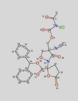 [C-]#[N+]C1(COC(=O)N(Cl)C(C)=O)CON(C2(C(=O)OC(c3ccccc3)c3ccccc3)CCC(=O)O2)C1=O